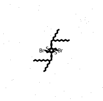 CCCCCCCCC(CC#Cc1c2cc(Br)sc2c(C#CCC(CCCCCC)CCCCCCCC)c2cc(Br)sc12)CCCCCC